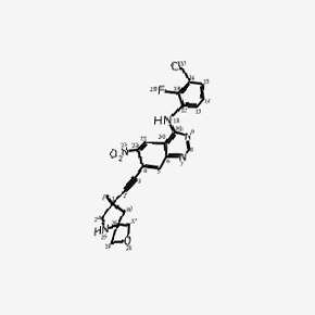 CC1(C#Cc2cc3ncnc(Nc4cccc(Cl)c4F)c3cc2[N+](=O)[O-])CNC2(COC2)C1